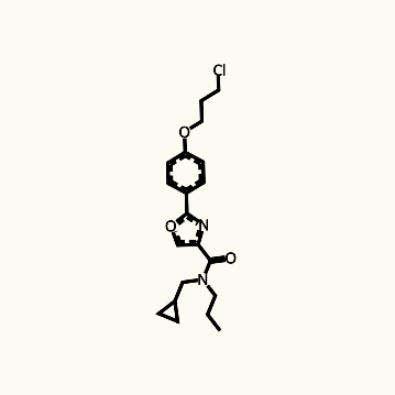 CCCN(CC1CC1)C(=O)c1coc(-c2ccc(OCCCCl)cc2)n1